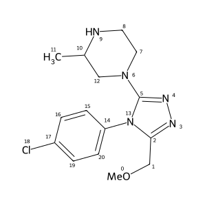 COCc1nnc(N2CCNC(C)C2)n1-c1ccc(Cl)cc1